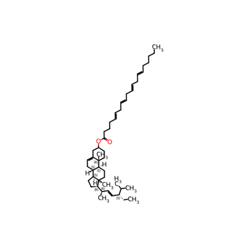 CCCCCC=CCC=CCC=CCC=CCCCC(=O)OC1CC[C@@]2(C)C(=CC[C@H]3[C@@H]4CC[C@H]([C@H](C)C=C[C@@H](CC)C(C)C)[C@@]4(C)CC[C@@H]32)C1